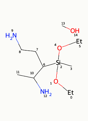 CCO[Si](C)(OCC)C(CCN)C(C)N.CO